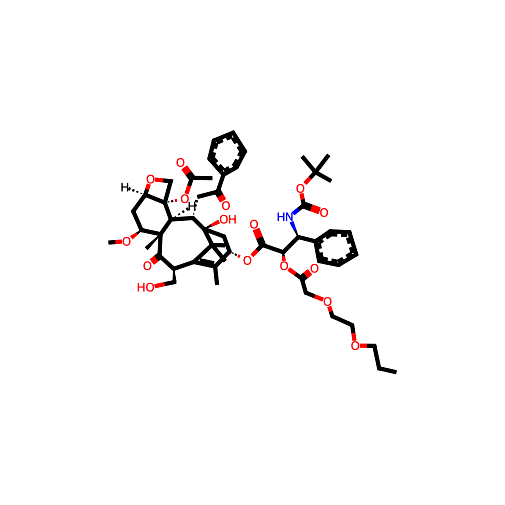 CCCOCCOCC(=O)O[C@@H](C(=O)O[C@H]1C[C@@]2(O)[C@@H](CC(=O)c3ccccc3)[C@@H]3[C@]4(OC(C)=O)CO[C@@H]4C[C@H](OC)[C@@]3(C)C(=O)[C@H](CO)C(=C1C)C2(C)C)[C@@H](NC(=O)OC(C)(C)C)c1ccccc1